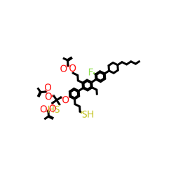 C=C(C)C(=O)OCCCc1cc(-c2ccc(C3CCC(CCCCC)CC3)cc2F)c(CC)cc1-c1ccc(OCC(CS)(COC(=O)C(=C)C)COC(=O)C(=C)C)c(CCCS)c1